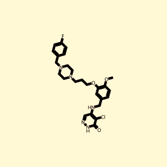 COc1ccc(CNc2cn[nH]c(=O)c2Cl)cc1OCCCN1CCN(Cc2ccc(F)cc2)CC1